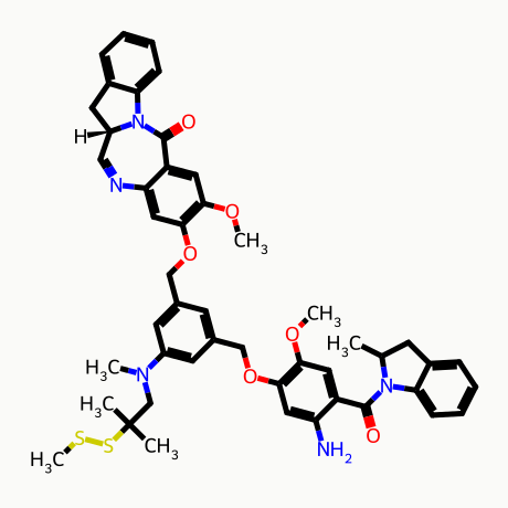 COc1cc(C(=O)N2c3ccccc3CC2C)c(N)cc1OCc1cc(COc2cc3c(cc2OC)C(=O)N2c4ccccc4C[C@H]2C=N3)cc(N(C)CC(C)(C)SSC)c1